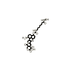 CC[C@@]1(O)C(=O)OCc2c1cc1n(c2=O)Cc2c-1nc1ccc(OC(=O)NCCCCCCC(=O)NO)c3c1c2[C@H](N)CC3